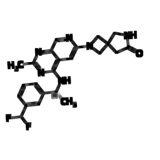 Cc1nc(N[C@H](C)c2cccc(C(F)F)c2)c2cc(N3CC4(CNC(=O)C4)C3)ncc2n1